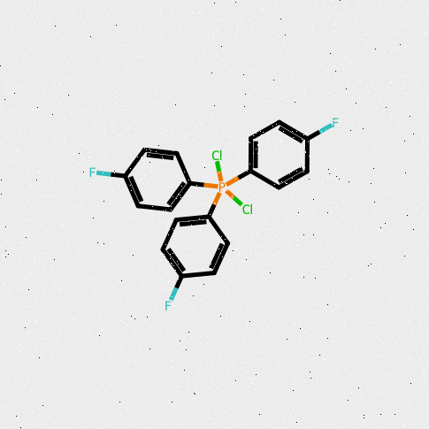 Fc1ccc(P(Cl)(Cl)(c2ccc(F)cc2)c2ccc(F)cc2)cc1